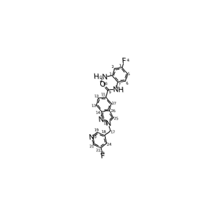 Nc1cc(F)ccc1NC(=O)c1ccc2nn(Cc3cncc(F)c3)cc2c1